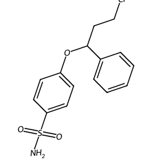 NS(=O)(=O)c1ccc(OC(CCCl)c2ccccc2)cc1